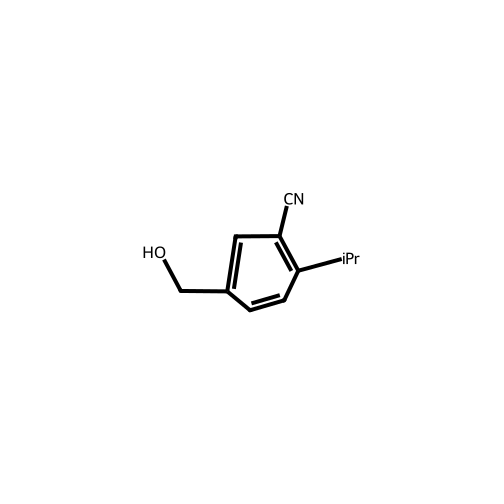 CC(C)c1ccc(CO)cc1C#N